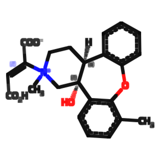 Cc1cccc2c1Oc1ccccc1[C@@H]1CC[N+](C)(/C(=C\C(=O)O)C(=O)[O-])C[C@]21O